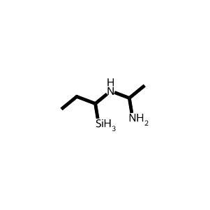 CCC([SiH3])NC(C)N